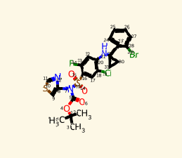 CC(C)(C)OC(=O)N(c1cscn1)S(=O)(=O)c1cc(Cl)c(NC2(c3ccccc3Br)CC2)cc1F